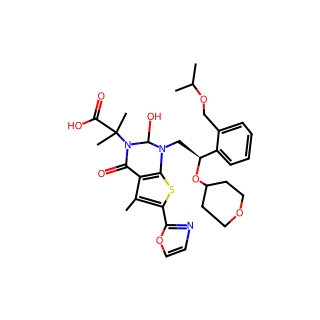 Cc1c(-c2ncco2)sc2c1C(=O)N(C(C)(C)C(=O)O)C(O)N2C[C@H](OC1CCOCC1)c1ccccc1COC(C)C